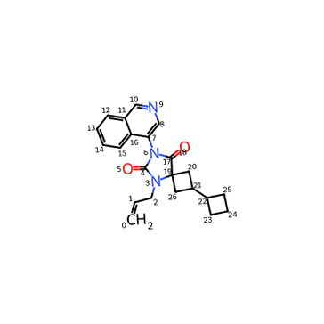 C=CCN1C(=O)N(c2cncc3ccccc23)C(=O)C12CC(C1CCC1)C2